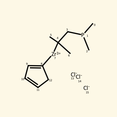 CP(C)C[C](C)(C)[Zr+3][C]1=CC=CC1.[Cl-].[Cl-].[Cl-]